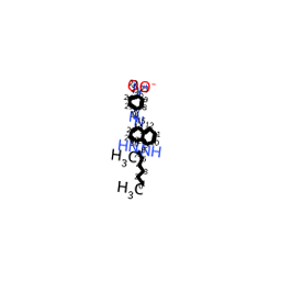 CCCCCCC1(C)Nc2cccc3c(N=Nc4ccc([N+](=O)[O-])cc4)ccc(c23)N1